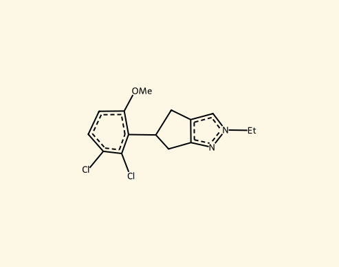 CCn1cc2c(n1)CC(c1c(OC)ccc(Cl)c1Cl)C2